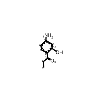 CCC(=O)c1ccc(N)cc1O